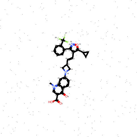 Cn1cc(C(=O)O)c(=O)c2ccc(N3CC(/C=C/c4c(-c5ccccc5C(F)(F)F)noc4C4CC4)C3)cc21